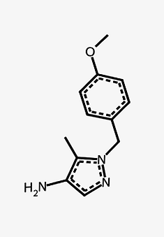 COc1ccc(Cn2ncc(N)c2C)cc1